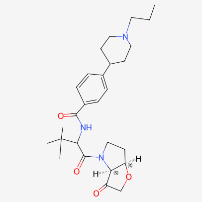 CCCN1CCC(c2ccc(C(=O)NC(C(=O)N3CC[C@H]4OCC(=O)[C@H]43)C(C)(C)C)cc2)CC1